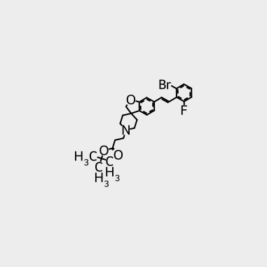 CC(C)(C)OC(=O)CCN1CCC2(CC1)COc1cc(C=Cc3c(F)cccc3Br)ccc12